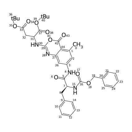 Cc1cc(NC(=O)[C@H](Cc2ccccc2)NC(=O)OCc2ccccc2)cc2nc(NC(CC(=O)OC(C)(C)C)C(=O)OC(C)(C)C)oc(=O)c12